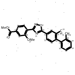 COC(=O)c1ccc(-c2noc(-c3ccc(-c4ccccc4C)c(C)c3)n2)c(OC)c1